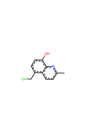 Cc1ccc2c(CCl)ccc(O)c2n1